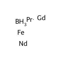 B.[Fe].[Gd].[Nd].[Pr]